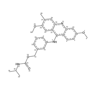 COc1ccc2c(Nc3cccc(COC(=O)NC(C)C)c3)c3cc(OC)c(C)cc3nc2c1